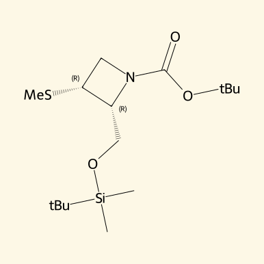 CS[C@@H]1CN(C(=O)OC(C)(C)C)[C@@H]1CO[Si](C)(C)C(C)(C)C